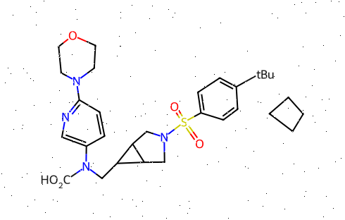 C1CCC1.CC(C)(C)c1ccc(S(=O)(=O)N2CC3C(CN(C(=O)O)c4ccc(N5CCOCC5)nc4)C3C2)cc1